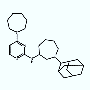 c1cc(N2CCCCCC2)nc(NC2CCCCN(C3C4CC5CC(C4)CC3C5)C2)n1